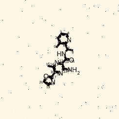 Cc1cccnc1C(C)NC(=O)c1nc(C)c(-c2ncco2)nc1N